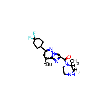 CC(C)(C)c1cc(C2CCC(F)(F)CC2)nn2cc(C(=O)N3CCNCC3(C)C)nc12